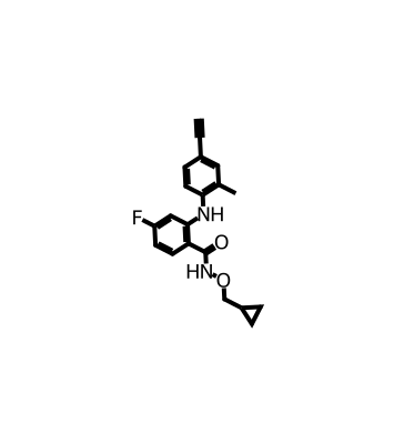 C#Cc1ccc(Nc2cc(F)ccc2C(=O)NOCC2CC2)c(C)c1